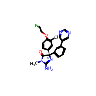 Cc1cc([C@@]2(c3cccc(-c4cncnc4)c3)N=C(N)N(C)C2=O)ccc1OCCF